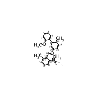 COc1ccccc1-c1cc(OCc2c(C)cccc2N(C)N)ccc1C